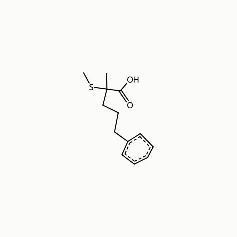 CSC(C)(CCCc1ccccc1)C(=O)O